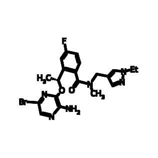 CCn1cc(CN(C)C(=O)c2ccc(F)cc2[C@@H](C)Oc2nc(Br)cnc2N)cn1